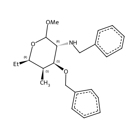 CC[C@H]1OC(OC)[C@H](NCc2ccccc2)[C@@H](OCc2ccccc2)[C@H]1C